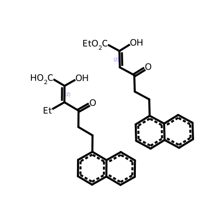 CC/C(C(=O)CCc1cccc2ccccc12)=C(/O)C(=O)O.CCOC(=O)/C(O)=C/C(=O)CCc1cccc2ccccc12